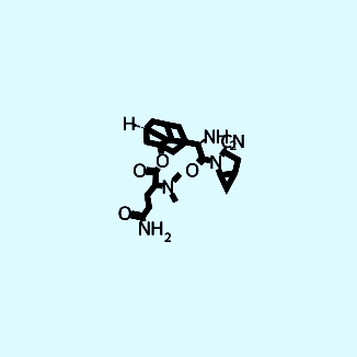 CN(C)C(CCC(N)=O)C(=O)OC12CC3C[C@H](C1)CC([C@H](N)C(=O)N1C4CC4C[C@H]1C#N)(C3)C2